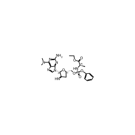 CCOC(=O)[C@@H](C)N[P@](=O)(OC[C@@H]1CC(=N)[C@H](n2cnc3c(N(C)C)nc(N)nc32)O1)Oc1ccccc1